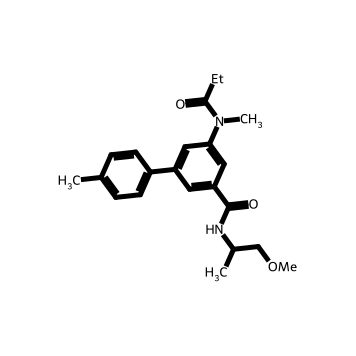 CCC(=O)N(C)c1cc(C(=O)NC(C)COC)cc(-c2ccc(C)cc2)c1